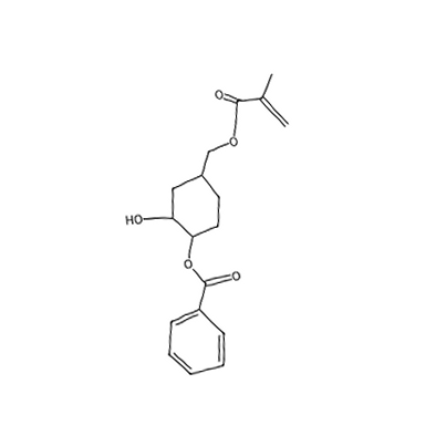 C=C(C)C(=O)OCC1CCC(OC(=O)c2ccccc2)C(O)C1